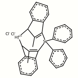 CC1=C2c3ccccc3[CH]1[Hf+2][CH]1C(C)=C(c3ccccc31)[Si]2(c1ccccc1)c1ccccc1.[Cl-].[Cl-]